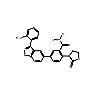 COc1ccccc1-c1n[nH]c2ncc(-c3ccc(N4CCOC4=O)c(C(=O)N(C)C)c3)cc12